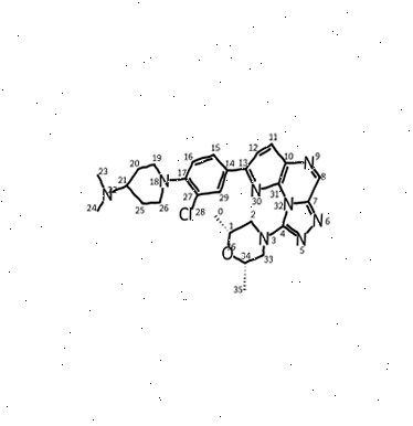 C[C@@H]1CN(c2nnc3cnc4ccc(-c5ccc(N6CCC(N(C)C)CC6)c(Cl)c5)nc4n23)C[C@H](C)O1